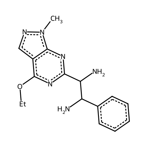 CCOc1nc(C(N)C(N)c2ccccc2)nc2c1cnn2C